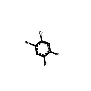 Fc1cc(Br)c(Br)cc1F